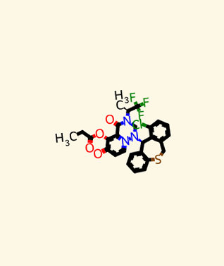 CCC(=O)Oc1c2n(ccc1=O)N([C@@H]1c3ccccc3SCc3cccc(Cl)c31)CN([C@H](C)C(F)(F)F)C2=O